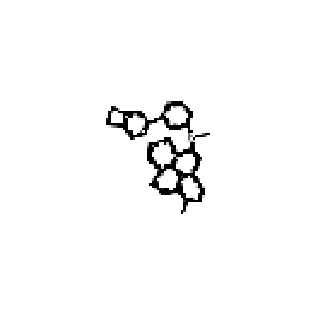 Cc1ccc2cc(N(C)c3cccc(-c4ccc5c(c4)CC5)c3)c3cccc4ccc1c2c43